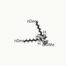 CCCCCCCCCCCCCCCCCC(=O)NC(C)(C)[n+]1cc[nH]c1C(=O)CCCCCCCCCCCCCCCCC.COS(=O)(=O)[O-]